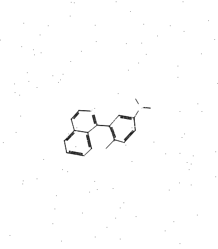 CCN(CC)c1ccc(C)c(-c2nccc3ccccc23)c1